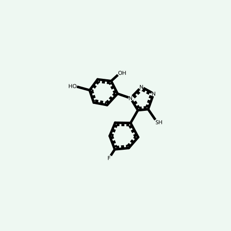 Oc1ccc(-n2nnc(S)c2-c2ccc(F)cc2)c(O)c1